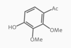 COc1c(O)ccc(C(C)=O)c1OC